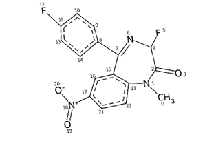 CN1C(=O)C(F)N=C(c2ccc(F)cc2)c2cc([N+](=O)[O-])ccc21